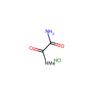 CNC(=O)C(N)=O.Cl